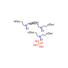 CCCCCCCCCCCCN(CC)CCCCCCCCCCCC.CCCCCCCCCCCCN(CC)CCCCCCCCCCCC.CCCCCCCCCCCCN(CC)CCCCCCCCCCCC.O=P(O)(O)O